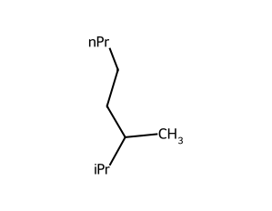 CCCCCC(C)C(C)C